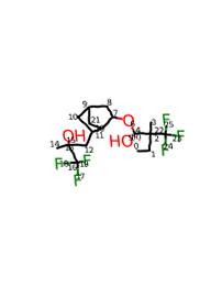 CCC(C)([C@H](O)OC1CC2CC(CC(C)(O)C(F)(F)F)C1C2)C(F)(F)F